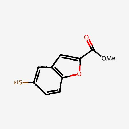 COC(=O)c1cc2cc(S)ccc2o1